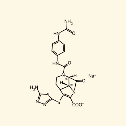 NC(=O)Nc1ccc(NC(=O)N2CCC3C(Sc4nnc(N)s4)=C(C(=O)[O-])N4C(=O)[C@@H]2[C@@H]34)cc1.[Na+]